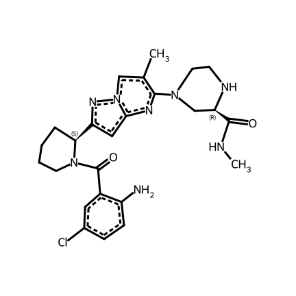 CNC(=O)[C@H]1CN(c2nc3cc([C@@H]4CCCCN4C(=O)c4cc(Cl)ccc4N)nn3cc2C)CCN1